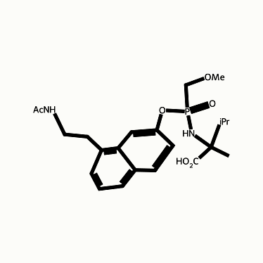 COCP(=O)(NC(C)(C(=O)O)C(C)C)Oc1ccc2cccc(CCNC(C)=O)c2c1